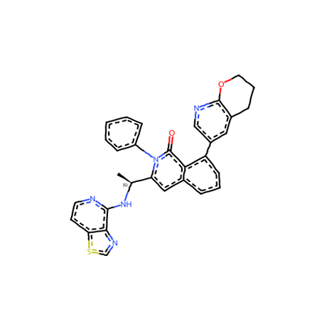 C[C@H](Nc1nccc2scnc12)c1cc2cccc(-c3cnc4c(c3)CCCO4)c2c(=O)n1-c1ccccc1